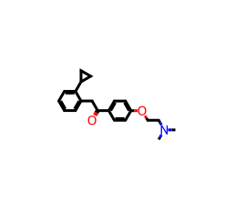 CN(C)CCOc1ccc(C(=O)Cc2ccccc2C2CC2)cc1